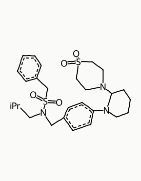 CC(C)CN(Cc1ccc(N2CCCCC2N2CCS(=O)(=O)CC2)cc1)S(=O)(=O)Cc1ccccc1